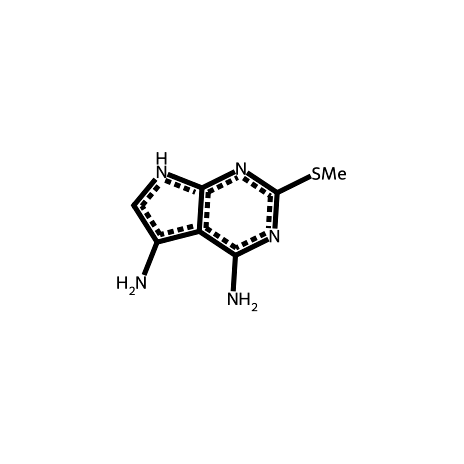 CSc1nc(N)c2c(N)c[nH]c2n1